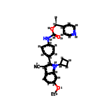 CCOc1ccc2c(C#N)c(-c3ccc(NC(=O)O[C@H](C)c4ccncc4)cc3)n(C3CCC3)c2c1